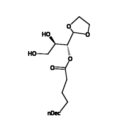 CCCCCCCCCCCCCC(=O)O[C@@H](C1OCCO1)[C@H](O)CO